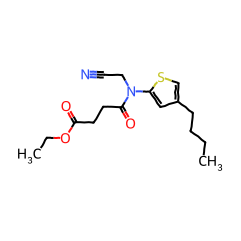 CCCCc1csc(N(CC#N)C(=O)CCC(=O)OCC)c1